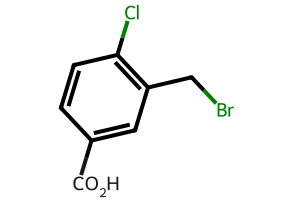 O=C(O)c1ccc(Cl)c(CBr)c1